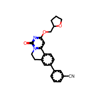 N#Cc1cccc(-c2ccc3c(c2)CCn2c-3cc(OCC3CCCO3)nc2=O)c1